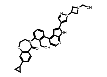 N#CCN1CC(n2cc(-c3cc4c(-c5cccc(N6CCOc7cc(C8CC8)ccc7C6=O)c5CO)ccnc4[nH]3)cn2)C1